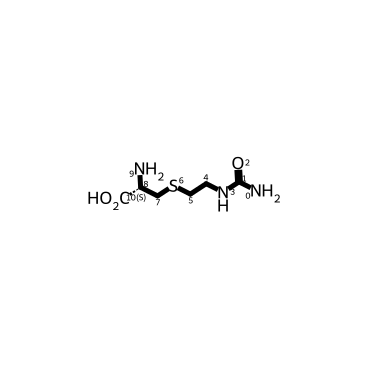 NC(=O)NCCSC[C@@H](N)C(=O)O